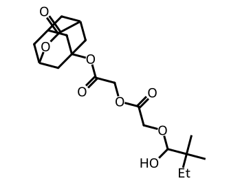 CCC(C)(C)C(O)OCC(=O)OCC(=O)OC12CC3CC(C1)OC(=O)C(C3)C2